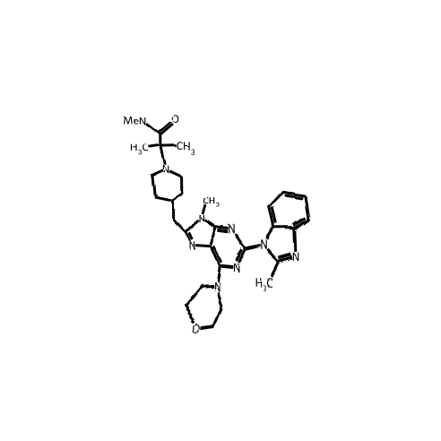 CNC(=O)C(C)(C)N1CCC(Cc2nc3c(N4CCOCC4)nc(-n4c(C)nc5ccccc54)nc3n2C)CC1